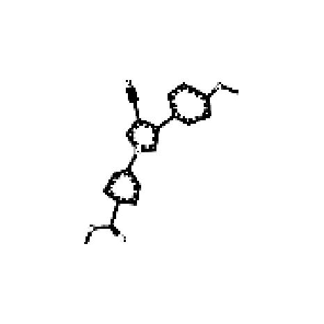 COC(=O)c1ccc(-n2cc(C#N)c(-c3ccc(OC)cc3)c2)cc1